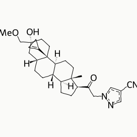 COC[C@@]1(O)CC[C@@]2(C3=CC3)[C@H](CC[C@H]3[C@@H]4CC[C@H](C(=O)Cn5cc(C#N)cn5)[C@@]4(C)CC[C@@H]32)C1